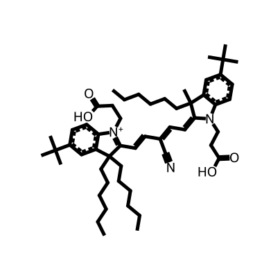 CCCCCCC1(CCCCCC)C(/C=C/C(C#N)=C/C=C2/N(CCC(=O)O)c3ccc(C(C)(C)C)cc3C2(C)CCCCCC)=[N+](CCC(=O)O)c2ccc(C(C)(C)C)cc21